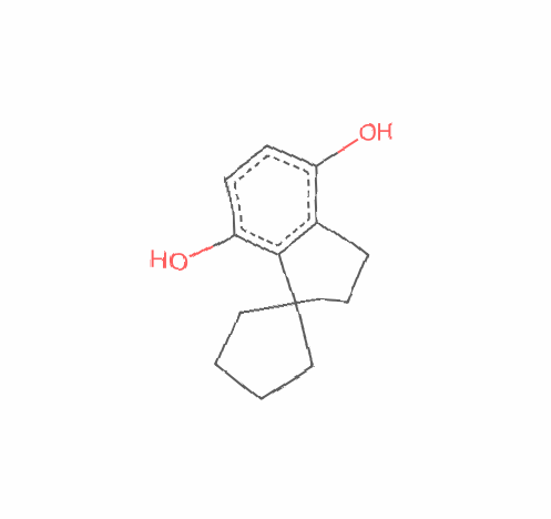 Oc1ccc(O)c2c1CCC21CCCC1